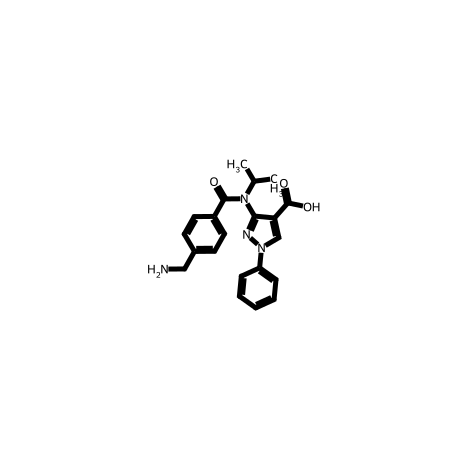 CC(C)N(C(=O)c1ccc(CN)cc1)c1nn(-c2ccccc2)cc1C(=O)O